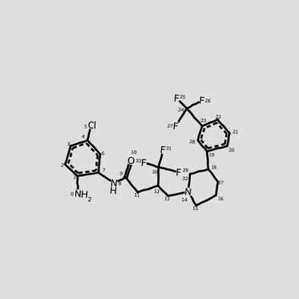 Nc1ccc(Cl)cc1NC(=O)CC(CN1CCCC(c2cccc(C(F)(F)F)c2)C1)C(F)(F)F